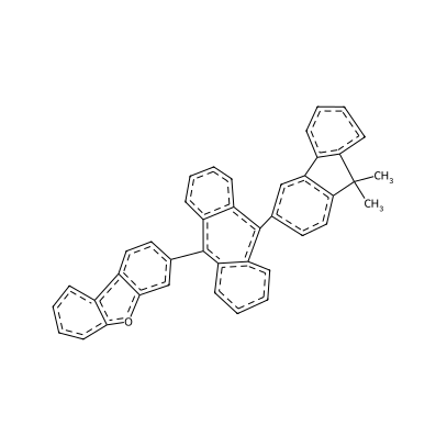 CC1(C)c2ccccc2-c2cc(-c3c4ccccc4c(-c4ccc5c(c4)oc4ccccc45)c4ccccc34)ccc21